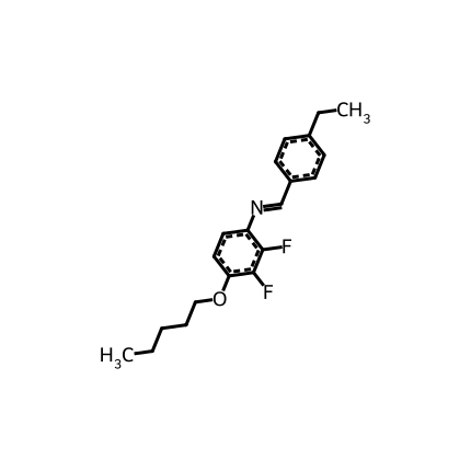 CCCCCOc1ccc(N=Cc2ccc(CC)cc2)c(F)c1F